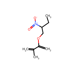 C=C(C)C(=C)OCC(CC)[N+](=O)[O-]